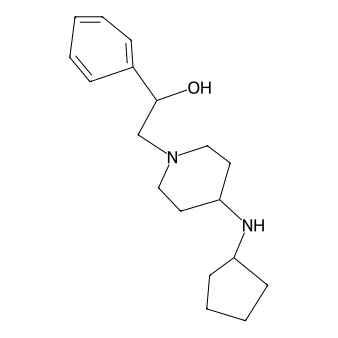 OC(CN1CCC(NC2CCCC2)CC1)c1ccccc1